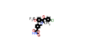 Cc1c(C(=O)c2ccc(Cl)cc2)c2ccc(OC(F)(F)F)cc2n1Cc1cccc(C2OC(=O)NC2=O)c1